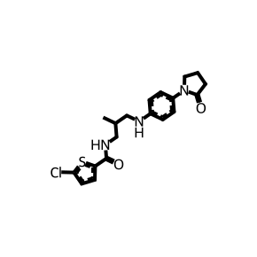 CC(CNC(=O)c1ccc(Cl)s1)CNc1ccc(N2CCCC2=O)cc1